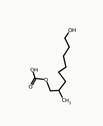 CC(CCCCCCO)COC(=O)O